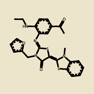 CCNc1ccc(C(C)=O)cc1N=C1SC(=C2Sc3ccccc3N2C)C(=O)N1Cc1ccco1